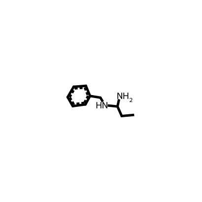 CCC(N)NCc1ccccc1